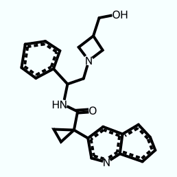 O=C(NC(CN1CC(CO)C1)c1ccccc1)C1(c2cnc3ccccc3c2)CC1